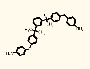 CC(C)(c1ccc(Cc2ccc(N)cc2)cc1)c1cccc(C(C)(C)c2ccc(Oc3ccc(N)cc3)cc2)c1